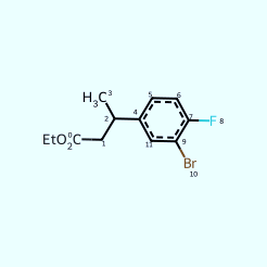 CCOC(=O)CC(C)c1ccc(F)c(Br)c1